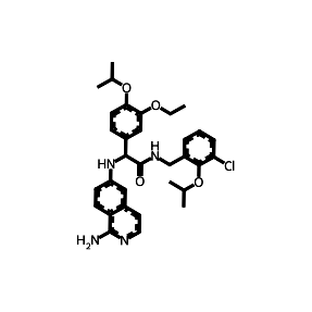 CCOc1cc(C(Nc2ccc3c(N)nccc3c2)C(=O)NCc2cccc(Cl)c2OC(C)C)ccc1OC(C)C